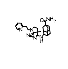 CC1(/C(=N\C#N)NC2C3CC4CC2CC(C(N)=O)(C4)C3)CCN(CCc2ccccn2)C1=O